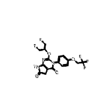 O=C1Cc2c(nc(OC(CF)CF)n(-c3ccc(OCC(F)(F)F)cc3)c2=O)N1